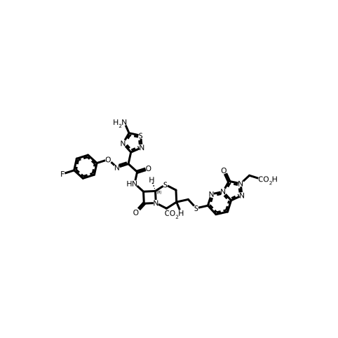 Nc1nc(C(=NOc2ccc(F)cc2)C(=O)NC2C(=O)N3CC(CSc4ccc5nn(CC(=O)O)c(=O)n5n4)(C(=O)O)CS[C@H]23)ns1